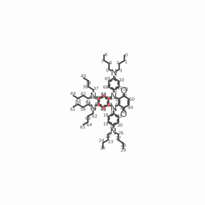 CCCCN(CCCC)c1ccc(N(C2=C(N(c3ccc(N(CCCC)CCCC)cc3)c3ccc(N(CCCC)CCCC)cc3)C(=O)C=CC2=O)c2ccc(N(CCCC)CCCC)cc2)cc1